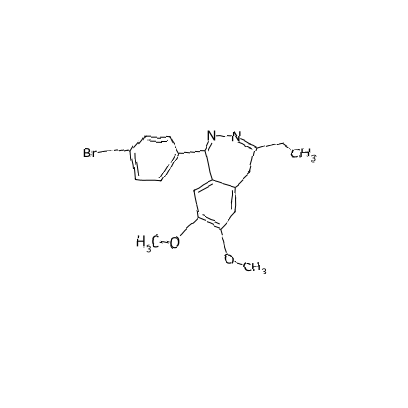 CCC1=NN=C(c2ccc(Br)cc2)c2cc(OC)c(OC)cc2C1